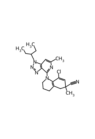 CCC(CC)n1nnc2c(N3CCCC4=C3C(Cl)=CC(C)(C#N)C4)nc(C)cc21